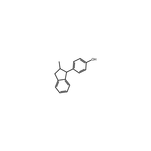 CC1Cc2ccccc2[C]1c1ccc(O)cc1